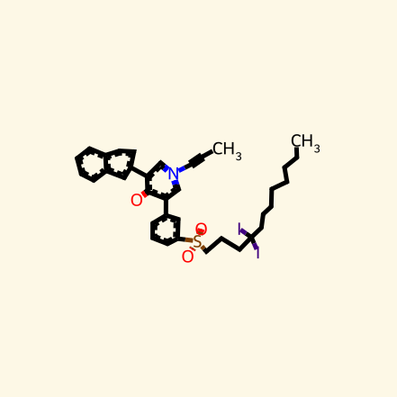 CC#Cn1cc(-c2cccc(S(=O)(=O)CCCC(I)(I)CCCCCCCC)c2)c(=O)c(-c2ccc3ccccc3c2)c1